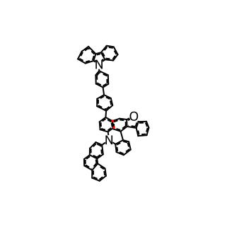 c1ccc(N(c2ccc(-c3ccc(-c4ccc(-n5c6ccccc6c6ccccc65)cc4)cc3)cc2)c2ccc3ccc4ccccc4c3c2)c(-c2cccc3oc4ccccc4c23)c1